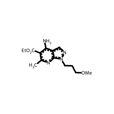 CCOC(=O)c1c(C)nc2c(cnn2CCCOC)c1N